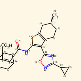 O=C(O)C1=C(C(=O)Nc2sc3c(c2-c2nc(C4CC4)no2)CC[C@H](C(F)(F)F)C3)C2CCC1CC2